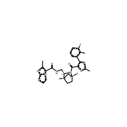 Cc1nc(C(=O)N2[C@@H]3CC[C@@H](C3)[C@H]2CNC(=O)c2c(C)nc3sccn23)c(-c2cccc(F)c2C)s1